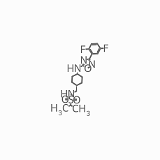 CC(C)S(=O)(=O)NC[C@H]1CC[C@H](Nc2nc(-c3cc(F)ccc3F)no2)CC1